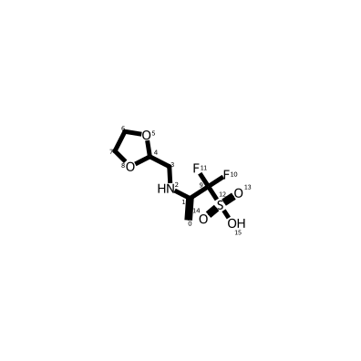 C=C(NCC1OCCO1)C(F)(F)S(=O)(=O)O